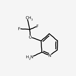 CC(F)(F)Oc1cccnc1N